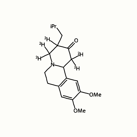 [2H]C1([2H])C(=O)C([2H])(CC(C)C)C([2H])([2H])N2CCc3cc(OC)c(OC)cc3C21